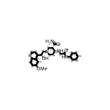 COc1ccc2nccc([C@@H](O)CN3CC[C@@H](NCC(=O)Nc4ccccc4)[C@@H](C(N)=O)C3)c2c1